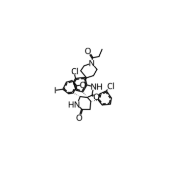 CCC(=O)N1CCC(Oc2ccc(I)cc2[C@H]2NC(=O)C[C@@H](c3cccc(Cl)c3)[C@]23C(=O)Nc2cc(Cl)ccc23)CC1